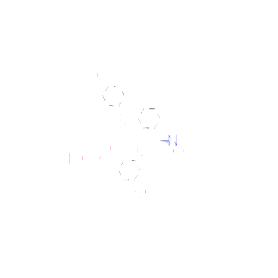 CCCO/N=C(\COc1cc(CC(=O)O)cc(OC(C)C)c1)c1cccc(Oc2ccc(OC)cc2)c1